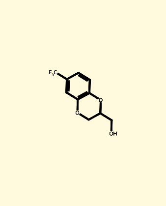 OCC1COc2cc(C(F)(F)F)ccc2O1